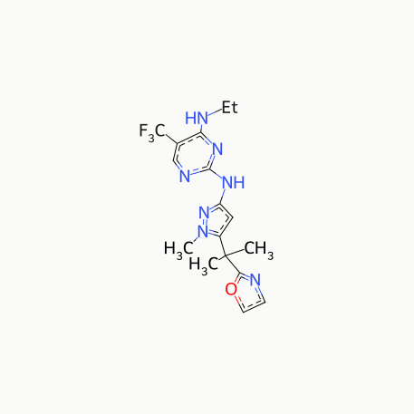 CCNc1nc(Nc2cc(C(C)(C)c3ncco3)n(C)n2)ncc1C(F)(F)F